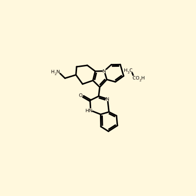 CC(=O)O.NCC1CCc2c(c(-c3nc4ccccc4[nH]c3=O)c3ccccn23)C1